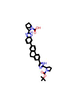 CC(C)(C)OC(=O)N1CCCC1c1ncc(-c2ccc3c(c2)CCc2cc(-c4ccc5nc(C6C7CCC(C7)N6C(=O)O)[nH]c5c4)ccc2-3)[nH]1